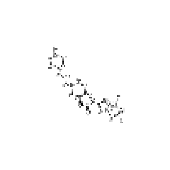 Cc1cn2cc(-c3cc4ccc(CCCN5CCNCC5)cc4oc3=O)nc2c(C)n1